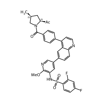 COc1ncc(-c2ccc3nccc(-c4ccc(C(=O)N5C[C@@H](C)C[C@H]5C(C)=O)cc4)c3c2)cc1NS(=O)(=O)c1ccc(F)cc1F